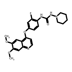 COc1cc2nccc(Oc3ccc(NC(=O)NN4CCCCC4)c(F)c3)c2cc1OC